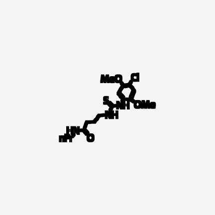 CCCNC(=O)CCCNC(=S)Nc1cc(OC)c(Cl)cc1OC